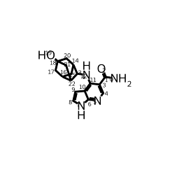 NC(=O)c1cnc2[nH]ccc2c1NC1C2CC3CC(O)(C2)CC31